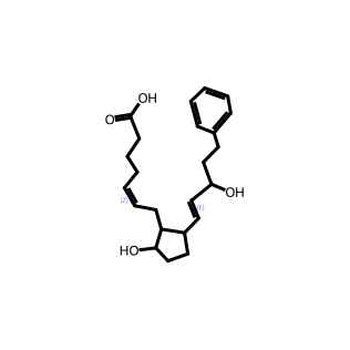 O=C(O)CCC/C=C\CC1C(O)CCC1/C=C/C(O)CCc1ccccc1